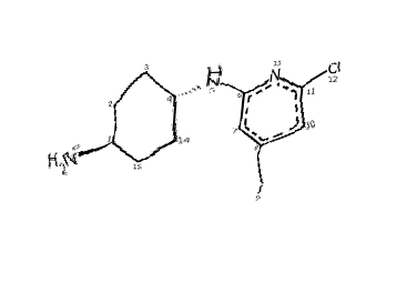 N[C@H]1CC[C@H](Nc2cc(I)cc(Cl)n2)CC1